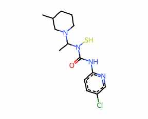 CC1CCCN(C(C)N(S)C(=O)Nc2ccc(Cl)cn2)C1